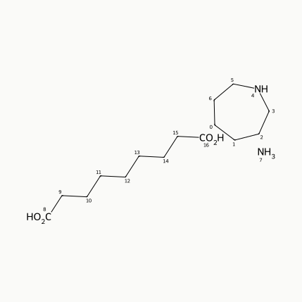 C1CCCNCC1.N.O=C(O)CCCCCCCC(=O)O